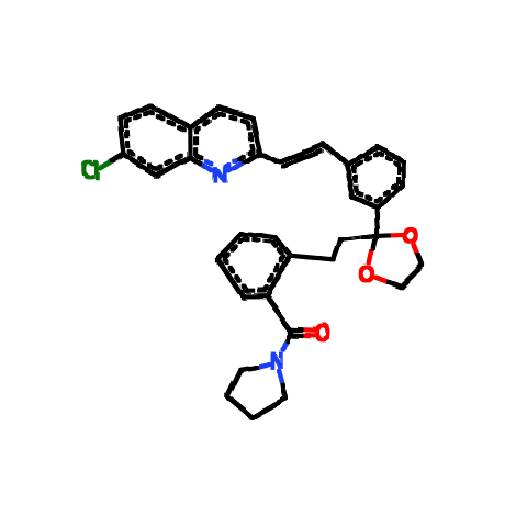 O=C(c1ccccc1CCC1(c2cccc(/C=C/c3ccc4ccc(Cl)cc4n3)c2)OCCO1)N1CCCC1